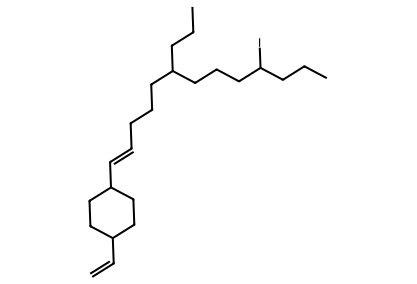 C=CC1CCC(/C=C/CCCC(CCC)CCCC(I)CCC)CC1